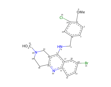 COc1ccc(CNc2c3c(nc4ccc(Br)cc24)CCN(C(=O)O)C3)cc1Cl